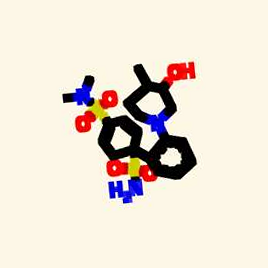 CC1CCN(c2ccccc2C2(S(N)(=O)=O)C=CC(S(=O)(=O)N(C)C)=CC2)CC1O